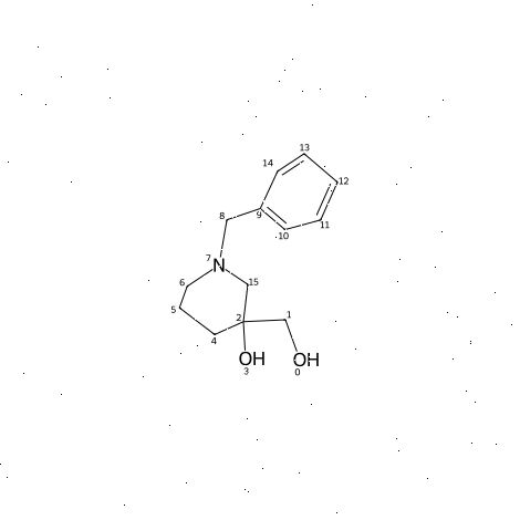 OCC1(O)CCCN(Cc2ccccc2)C1